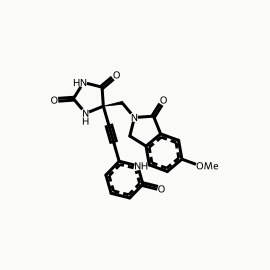 COc1ccc2c(c1)C(=O)N(C[C@@]1(C#Cc3cccc(=O)[nH]3)NC(=O)NC1=O)C2